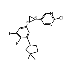 CC1(C)CCN(c2cc([C@@H]3C[C@H]3c3cnc(Cl)nc3)cc(F)c2F)C1